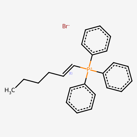 CCCC/C=C/[P+](c1ccccc1)(c1ccccc1)c1ccccc1.[Br-]